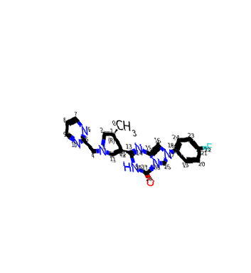 C[C@H]1CN(Cc2ncccn2)C[C@@H]1C1=NC2=CN(c3ccc(F)cc3)CN2C(=O)N1